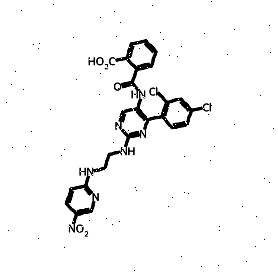 O=C(O)c1ccccc1C(=O)Nc1cnc(NCCNc2ccc([N+](=O)[O-])cn2)nc1-c1ccc(Cl)cc1Cl